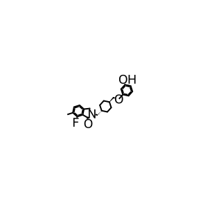 Cc1ccc2c(c1F)C(=O)N(C[C@H]1CC[C@H](COc3cccc(O)c3)CC1)C2